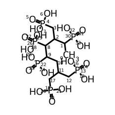 CC(C(CP(=O)(O)O)C(C(CC(CP(=O)(O)O)CP(=O)(O)O)P(=O)(O)O)P(=O)(O)O)P(=O)(O)O